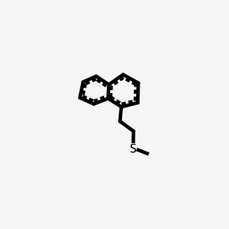 CSCCc1cccc2ccccc12